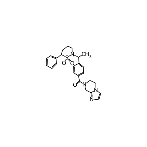 CC(c1ccc(C(=O)N2CCn3ccnc3C2)cc1)N1CCCC(c2ccccc2)S1(=O)=O